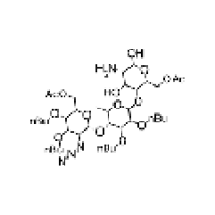 CCCCOC1[C@H](O[C@H]2OC(COC(C)=O)[C@@H](OCCCC)[C@H](OCCCC)C2N=[N+]=[N-])C(C)O[C@@H](O[C@@H]2C(COC(C)=O)OC(O)[C@@H](N)C2O)[C@H]1OCCCC